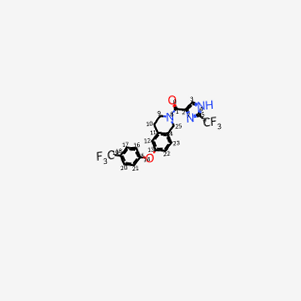 O=C(c1c[nH]c(C(F)(F)F)n1)N1CCc2cc(Oc3ccc(C(F)(F)F)cc3)ccc2C1